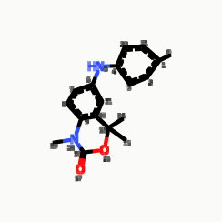 Cc1ccc(Nc2ccc3c(c2)C(C)(C)OC(=O)N3C)cc1